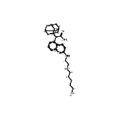 NC(=O)C(c1cccc2nc(NCCNCCCCCO)ccc12)C12CC3CC(CC(C3)C1)C2